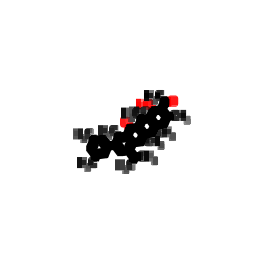 CC(=O)C1C(C)CC2(C)CC3(C)Cc4c(C(C)C)cc(-c5cc(C)cc(C)c5)c(C)c4C(=O)C3C(C)C2(C)C1O